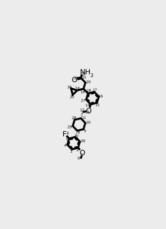 COc1ccc(F)c([C@H]2CC[C@@H](COc3cccc(C(CC(N)=O)C4CC4)c3)CC2)c1